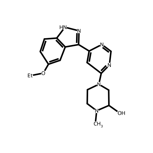 CCOc1ccc2[nH]nc(-c3cc(N4CCN(C)C(O)C4)ncn3)c2c1